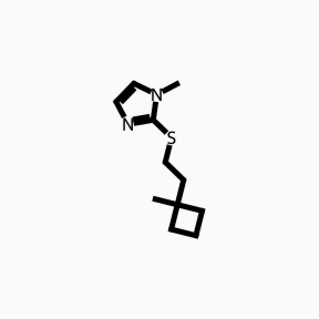 Cn1ccnc1SCCC1(C)CCC1